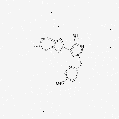 COc1ccc(Oc2cnc(N)c(-c3nc4ccc(C)cc4[nH]3)n2)cc1